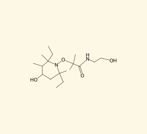 CCC1(C)CC(O)C(C)C(C)(CC)N1OC(C)(C)C(=O)NCCO